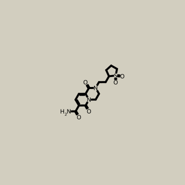 NC(=O)c1ccc2n(c1=O)CCN(CCC1CCCS1(=O)=O)C2=O